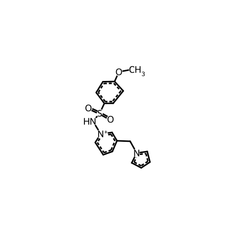 COc1ccc(S(=O)(=O)N[n+]2cccc(Cn3cccc3)c2)cc1